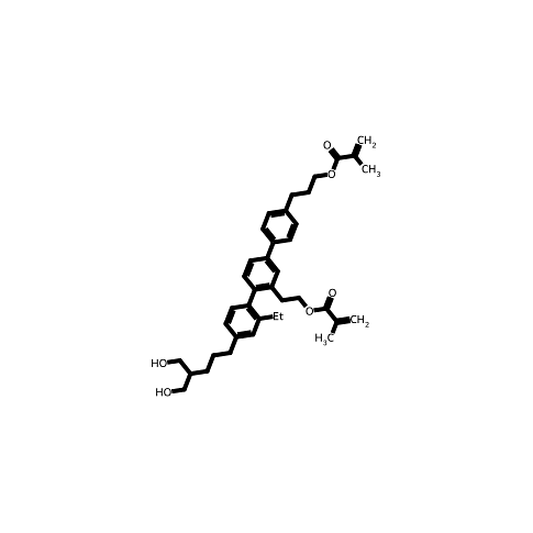 C=C(C)C(=O)OCCCc1ccc(-c2ccc(-c3ccc(CCCC(CO)CO)cc3CC)c(CCOC(=O)C(=C)C)c2)cc1